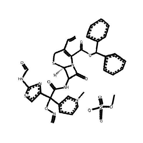 C=CC1=C(C(=O)OC(c2ccccc2)c2ccccc2)N2C(=O)C(NC(=O)C(ON=C)(c3ccc[n+](C)c3)c3csc(NC=O)n3)[C@H]2SC1.COS(=O)(=O)[O-]